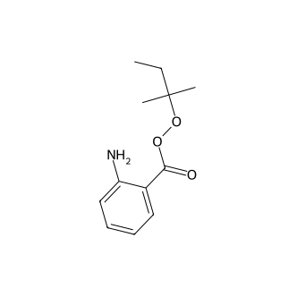 CCC(C)(C)OOC(=O)c1ccccc1N